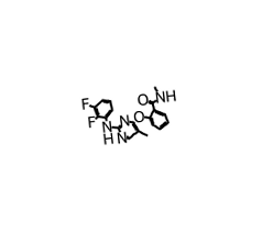 CNC(=O)c1ccccc1Oc1nc(Nc2cccc(F)c2F)ncc1C